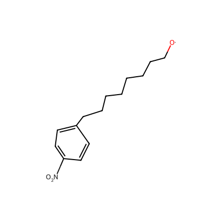 [O]CCCCCCCCc1ccc([N+](=O)[O-])cc1